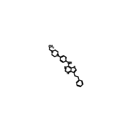 CCN1CCN(c2ccc(Nc3ncnc4c(CCc5ccccc5)csc34)cc2)CC1